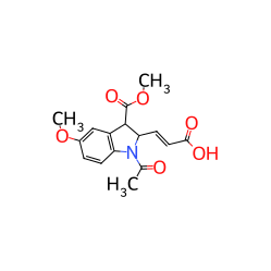 COC(=O)C1c2cc(OC)ccc2N(C(C)=O)C1C=CC(=O)O